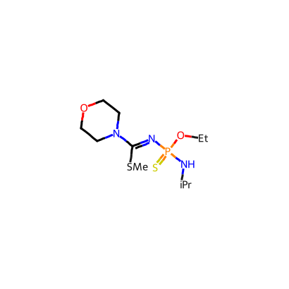 CCOP(=S)(N=C(SC)N1CCOCC1)NC(C)C